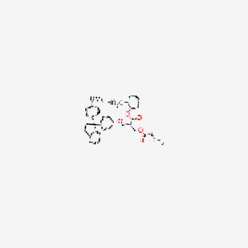 C=CC(=O)OCC(COc1ccc(C2(c3ccc(OC)cc3)CCc3ccccc32)cc1)C(=O)OC1CC=CCC1C(=O)O